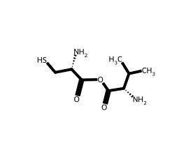 CC(C)[C@H](N)C(=O)OC(=O)[C@@H](N)CS